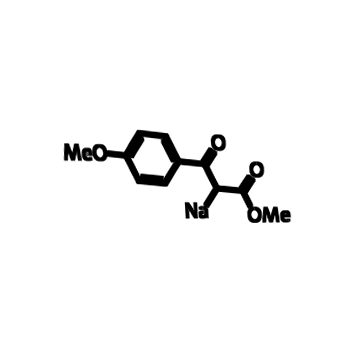 COC(=O)[CH]([Na])C(=O)c1ccc(OC)cc1